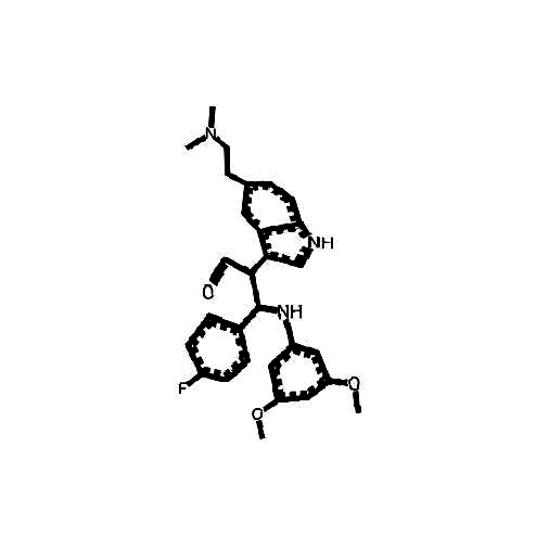 COc1cc(NC(c2ccc(F)cc2)C(C=O)c2c[nH]c3ccc(CCN(C)C)cc23)cc(OC)c1